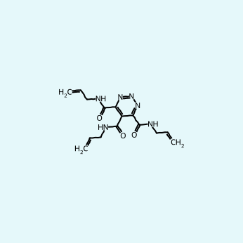 C=CCNC(=O)c1nnnc(C(=O)NCC=C)c1C(=O)NCC=C